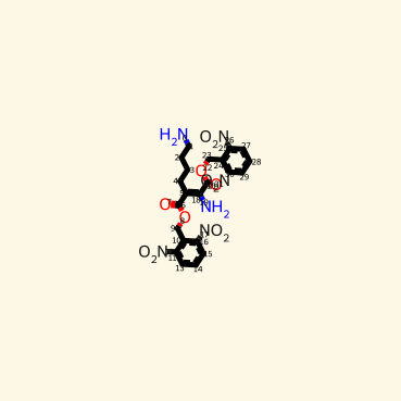 NCCCCC(C(=O)OCc1c([N+](=O)[O-])cccc1[N+](=O)[O-])=C(N)C(=O)OCc1c([N+](=O)[O-])cccc1[N+](=O)[O-]